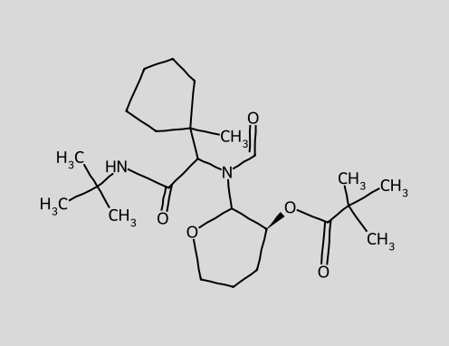 CC(C)(C)NC(=O)C(N(C=O)C1OCCC[C@@H]1OC(=O)C(C)(C)C)C1(C)CCCCC1